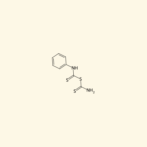 NC(=S)SC(=S)Nc1ccccc1